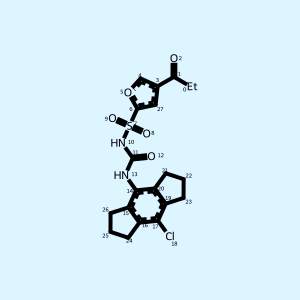 CCC(=O)c1coc(S(=O)(=O)NC(=O)Nc2c3c(c(Cl)c4c2CCC4)CCC3)c1